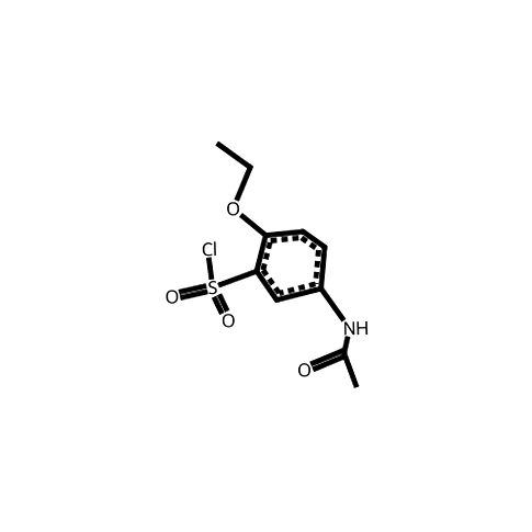 CCOc1ccc(NC(C)=O)cc1S(=O)(=O)Cl